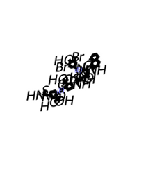 CNC(=S)Nc1ccc(/C=C/c2ccc(NC(=S)NNC(=O)C(Nc3ccc4ccccc4c3)C(=O)N/N=C/c3cc(Br)c(O)c(Br)c3)cc2S(=O)(=O)O)c(S(=O)(=O)O)c1